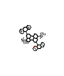 CC(C)(C)[Si](C)(C)c1ccc2c3cc(-c4c5c(cc6c4C4CCC6CC4)C4CCC5CC4)cc4c([Si](C)(C)C(C)(C)C)ccc(c5cc(-c6c7c(cc8c6C6CCC8CC6)C6CCC7CC6)cc1c25)c43